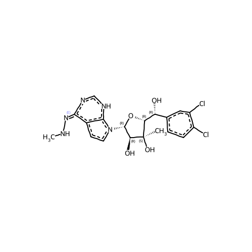 CN/N=c1/nc[nH]c2c1ccn2[C@@H]1O[C@H]([C@H](O)c2ccc(Cl)c(Cl)c2)[C@@](C)(O)[C@H]1O